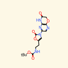 CC(C)(C)OC(=O)NCCc1cn(-c2cnc3c(n2)NC(=O)CO3)c(=O)o1